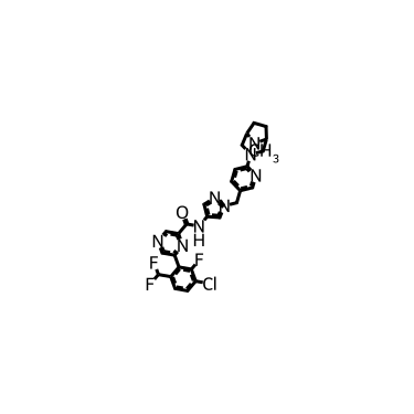 CN1C2CCC1CN(c1ccc(Cn3cc(NC(=O)c4cncc(-c5c(C(F)F)ccc(Cl)c5F)n4)cn3)cn1)C2